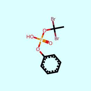 CC(Br)(Br)OP(=O)(O)Oc1ccccc1